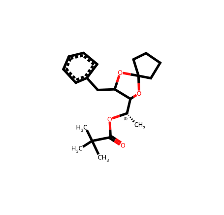 C[C@H](OC(=O)C(C)(C)C)C1OC2(CCCC2)OC1Cc1ccccc1